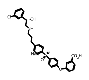 O=C(O)c1cccc(Oc2ccc(S(=O)(=O)c3ccc(CCCNC[C@@H](O)c4cccc(Cl)c4)cc3)cc2)c1.[NaH]